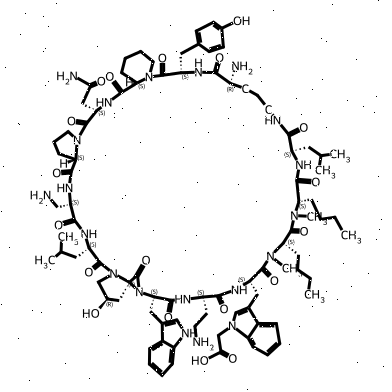 CCCC[C@H]1C(=O)N(C)[C@@H](CCCC)C(=O)N[C@@H](CC(C)C)C(=O)NCCC[C@@H](N)C(=O)N[C@@H](Cc2ccc(O)cc2)C(=O)N2CCCC[C@H]2C(=O)N[C@@H](CC(N)=O)C(=O)N2CCC[C@H]2C(=O)N[C@@H](CN)C(=O)N[C@@H](CC(C)C)C(=O)N2C[C@H](O)C[C@@]23C(=O)N3[C@@H](Cc2c[nH]c3ccccc23)C(=O)N[C@@H](CCN)C(=O)N[C@@H](Cc2cn(CC(=O)O)c3ccccc23)C(=O)N1C